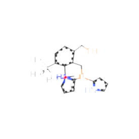 CC(C)(C)c1c([Si](C)(C)C)ccc(CP)c1CP(c1ccc[nH]1)c1ccc[nH]1